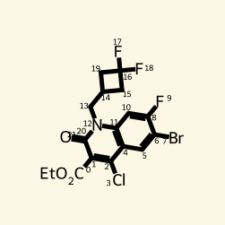 CCOC(=O)c1c(Cl)c2cc(Br)c(F)cc2n(CC2CC(F)(F)C2)c1=O